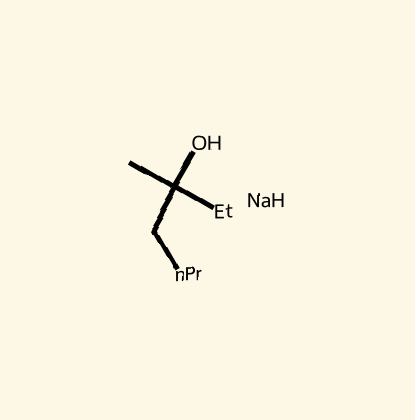 CCCCC(C)(O)CC.[NaH]